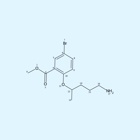 COC(=O)c1cc(Br)ccc1OC(C)CCCN